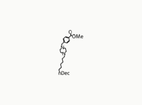 CCCCCCCCCCCCCCCCN1CCN(Cc2ccc(C(=O)OC)cc2)CC1